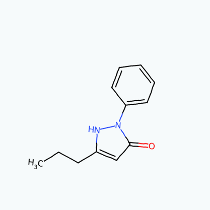 CCCc1cc(=O)n(-c2ccccc2)[nH]1